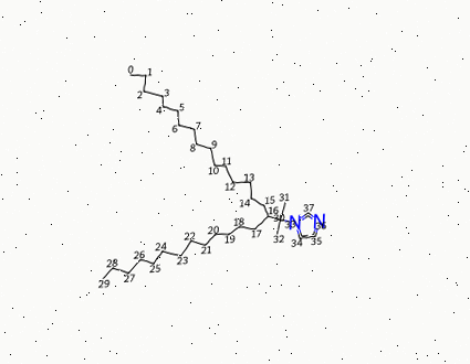 CCCCCCCCCCCCCCCCC(CCCCCCCCCCCCC)C(C)(C)n1ccnc1